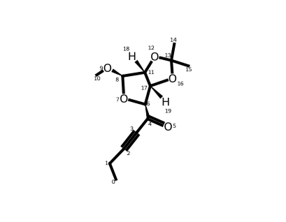 CCC#CC(=O)[C@H]1O[C@@H](OC)[C@@H]2OC(C)(C)O[C@@H]21